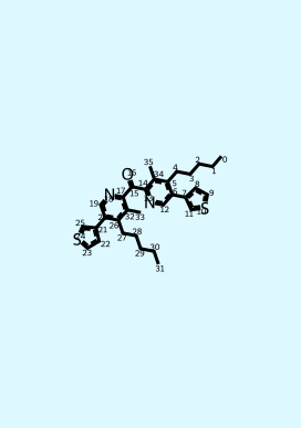 CCCCCc1c(-c2ccsc2)cnc(C(=O)c2ncc(-c3ccsc3)c(CCCCC)c2C)c1C